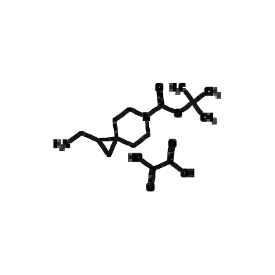 CC(C)(C)OC(=O)N1CCC2(CC1)CC2CN.O=C(O)C(=O)O